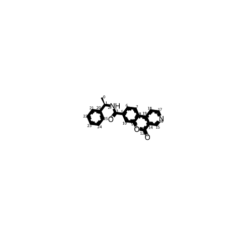 C[C@@H](NC(=O)c1ccc2c(c1)oc(=O)c1cnccc12)c1ccccc1